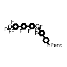 CCCCCC1CCC(c2ccc(C(F)(F)Oc3ccc(-c4ccc(-c5cc(F)c(OC(F)F)c(F)c5)c(F)c4)c(F)c3)c(F)c2)CC1